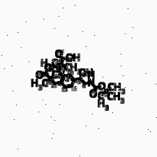 CC(C)(C)OC(=O)NCC(O)c1ccc(CC(C)(C)C(=O)O)c(CC(C)(C)C(=O)O)c1